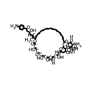 CC1/C=C/C=C/C=C/C=C/C=C/C=C/C=C/C(OC2O[C@H](C)C(O)[C@H](N)C2O)CC2OC(O)(CC(O)CC(O)CC(O)CC(O)CC(=O)CC(O)CC(=O)OC1C(C)CCC(O)CC(=O)c1ccc(N)cc1)CC(O)C2C(=O)O